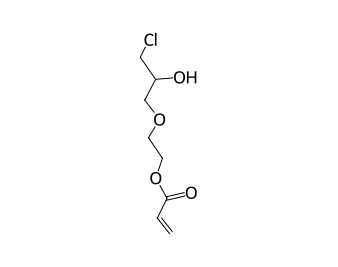 C=CC(=O)OCCOCC(O)CCl